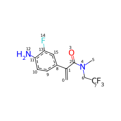 C=C(C(=O)N(C)CC(F)(F)F)c1ccc(N)c(F)c1